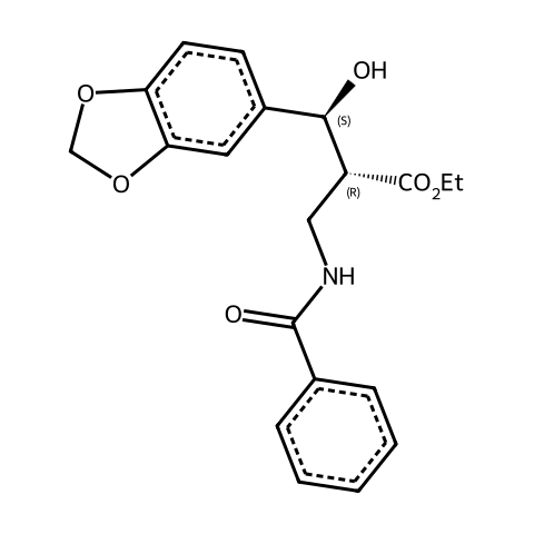 CCOC(=O)[C@H](CNC(=O)c1ccccc1)[C@H](O)c1ccc2c(c1)OCO2